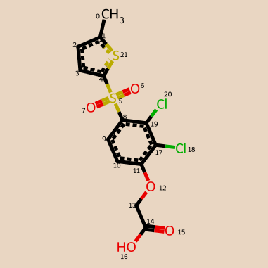 Cc1ccc(S(=O)(=O)c2ccc(OCC(=O)O)c(Cl)c2Cl)s1